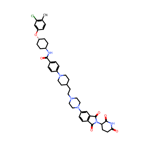 N#Cc1ccc(O[C@H]2CC[C@H](NC(=O)c3ccc(N4CCC(CCN5CCN(c6ccc7c(c6)C(=O)N(C6CCC(=O)NC6=O)C7=O)CC5)CC4)cc3)CC2)cc1Cl